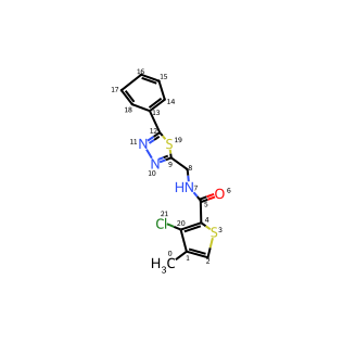 Cc1csc(C(=O)NCc2nnc(-c3ccccc3)s2)c1Cl